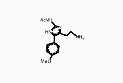 COc1ccc(-c2[nH]c(NC(C)=O)nc2CCN)cc1